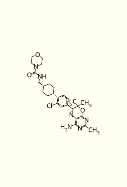 Cc1nc(N)c2c(n1)OC(C)(C)C(c1ccc([C@H]3CC[C@H](CNC(=O)N4CCOCC4)CC3)c(Cl)c1)=N2